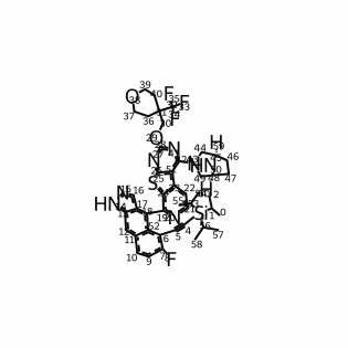 CC(C)[Si](C#Cc1c(F)ccc2cc3[nH]ncc3c(-c3nccc4c3sc3nc(OCC5(C(F)(F)F)CCOCC5)nc(N5C[C@H]6CC[C@@H](C5)N6)c34)c12)(C(C)C)C(C)C